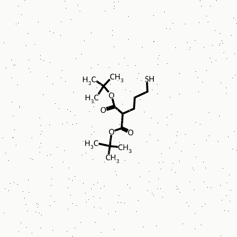 CC(C)(C)OC(=O)C(CCCS)C(=O)OC(C)(C)C